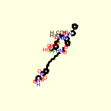 CC(C)(C)C(NC(=O)c1cc2cc(C(F)(F)P(=O)(O)O)ccc2s1)C(=O)N1Cc2cc(OCC(=O)NCCCCCCCCC#Cc3ccc4c(c3)C(=O)N(C3CCC(=O)NC3=O)C4=O)ccc2C[C@H]1C(=O)N1CCC[C@H](c2ccccc2)C1